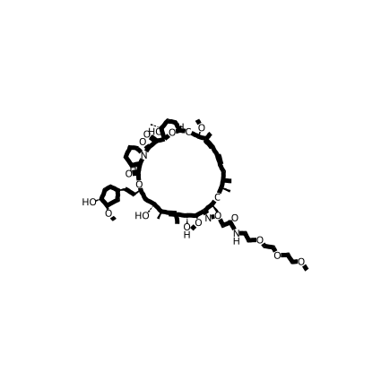 COCCOCCOCCNC(=O)CO/N=C1\[C@H](C)C[C@H](C)C(C)C/C=C/C=C(\C)[C@@H](OC)C[C@@H]2CC[C@@H](C)[C@@](O)(O2)C(=O)C(=O)N2CCCC[C@H]2C(=O)O[C@H](CC[C@@H]2CC[C@@H](O)[C@H](OC)C2)C[C@@H](O)[C@H](C)/C=C(\C)[C@@H](O)[C@H]1OC